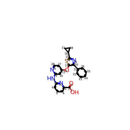 O=C(O)c1cccc(Nc2cc(Oc3sc(C4CC4)nc3-c3ccccc3)ccn2)n1